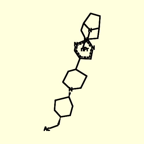 CCCN1CC2CCC(C1)N2c1ncc(C2CCN([C@H]3CC[C@@H](CC(C)=O)CC3)CC2)cn1